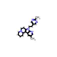 Cc1cnc2c(c1)c1c(n2CCc2cnc(C)nc2)CCN2CCCCC12